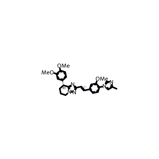 COc1ccc([C@H]2CCCn3nc(/C=C/c4ccc(-n5cnc(C)c5)c(OC)c4)nc32)cc1OC